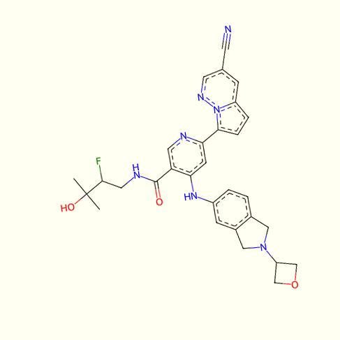 CC(C)(O)C(F)CNC(=O)c1cnc(-c2ccc3cc(C#N)cnn23)cc1Nc1ccc2c(c1)CN(C1COC1)C2